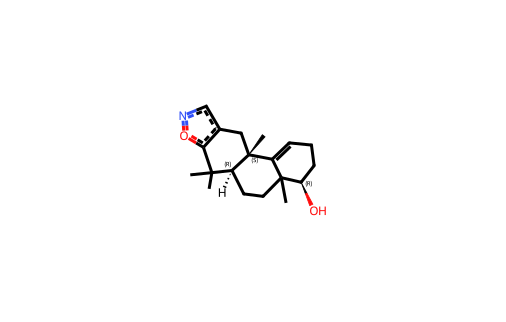 CC12CC[C@H]3C(C)(C)c4oncc4C[C@]3(C)C1=CCC[C@H]2O